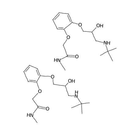 CNC(=O)COc1ccccc1OCC(O)CNC(C)(C)C.CNC(=O)COc1ccccc1OCC(O)CNC(C)(C)C